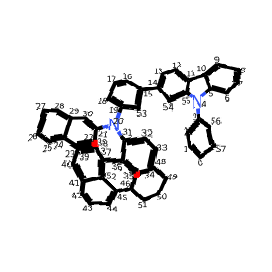 c1ccc(-n2c3ccccc3c3ccc(-c4cccc(N(c5ccc6ccccc6c5)c5ccccc5-c5cccc6cccc(C7CCCCC7)c56)c4)cc32)cc1